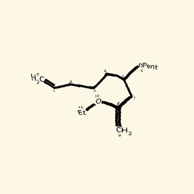 C=CCCCC(CCCCC)CC(=C)OCC